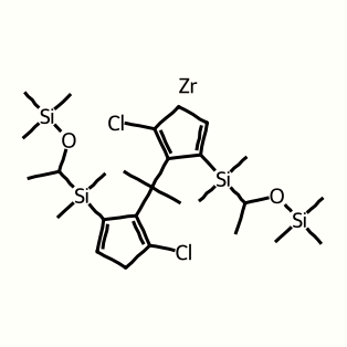 CC(O[Si](C)(C)C)[Si](C)(C)C1=CCC(Cl)=C1C(C)(C)C1=C(Cl)CC=C1[Si](C)(C)C(C)O[Si](C)(C)C.[Zr]